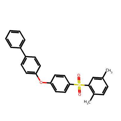 Cc1ccc(C)c(S(=O)(=O)c2ccc(Oc3ccc(-c4ccccc4)cc3)cc2)c1